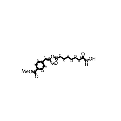 COC(=O)c1ccc(/C=C2/ON(CCCCCCC(=O)NO)OS2)cc1